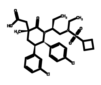 CC[C@@H](CN(CC)S(=O)(=O)C1CCC1)N1C(=O)[C@@](C)(CC(=O)O)C[C@H](c2cccc(Cl)c2)[C@H]1c1ccc(Cl)cc1